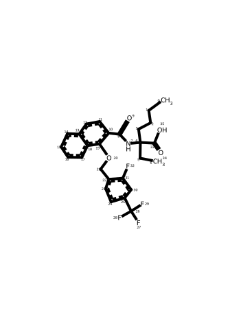 CCCCC(CC)(NC(=O)c1ccc2ccccc2c1OCc1ccc(C(F)(F)F)cc1F)C(=O)O